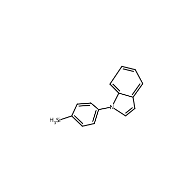 [SiH3]c1ccc(-n2ccc3ccccc32)cc1